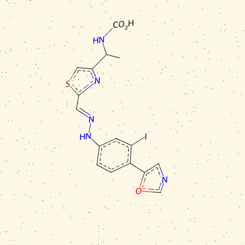 CC(NC(=O)O)c1csc(C=NNc2ccc(-c3cnco3)c(I)c2)n1